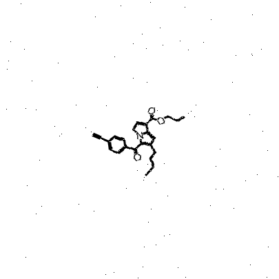 C#Cc1ccc(C(=O)c2c(CCCC)cc3n2CC=C3C(=O)OCCC)cc1